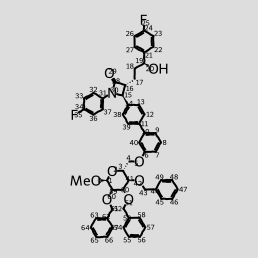 CO[C@H]1O[C@H](COc2cccc(-c3ccc([C@@H]4[C@@H](CC[C@H](O)c5ccc(F)cc5)C(=O)N4c4ccc(F)cc4)cc3)c2)[C@@H](OCc2ccccc2)[C@H](OCc2ccccc2)[C@H]1OCc1ccccc1